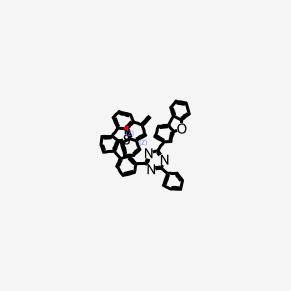 C=C(/C=c1/cccc/c1=C/C)c1cccc2c1sc1c(-c3cccc(-c4nc(-c5ccccc5)nc(-c5ccc6c(c5)oc5ccccc56)n4)c3)cccc12